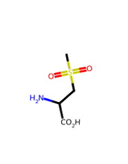 CS(=O)(=O)CC(N)C(=O)O